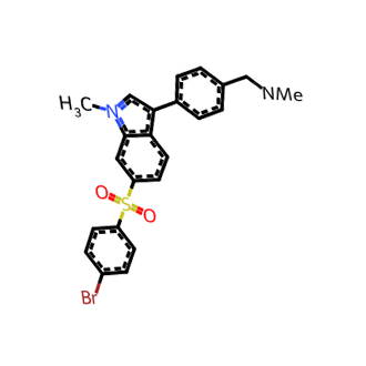 CNCc1ccc(-c2cn(C)c3cc(S(=O)(=O)c4ccc(Br)cc4)ccc23)cc1